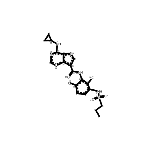 CCCS(=O)(=O)Nc1ccc(Cl)c(NC(=O)c2csc3c(NC4CC4)ncnc23)c1Cl